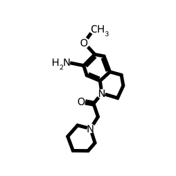 COc1cc2c(cc1N)N(C(=O)CN1CCCCC1)CCC2